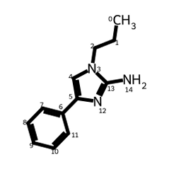 CCCn1cc(-c2ccccc2)nc1N